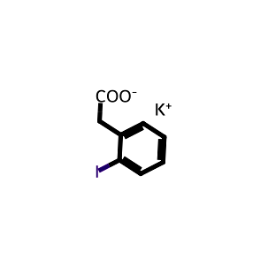 O=C([O-])Cc1ccccc1I.[K+]